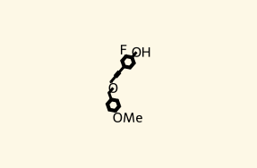 COc1ccc(COCC#Cc2ccc(O)c(F)c2)cc1